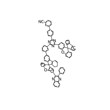 N#Cc1cccc(-c2ccc(-c3nc(-c4cccc(-c5ccc6c(c5)C5=C(CCC=C5)C65c6ccccc6Oc6cc(-c7nc8ccccc8nc7-c7ccccc7)ccc65)c4)nc(-c4ccc5c(c4)Oc4ccccc4C54c5ccccc5-c5ccccc54)n3)cc2)c1